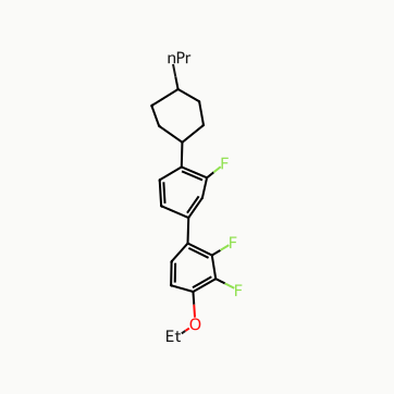 CCCC1CCC(c2ccc(-c3ccc(OCC)c(F)c3F)cc2F)CC1